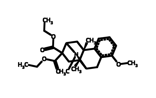 CCOC(=O)C1(C(=O)OCC)C[C@@]2(C)C3Cc4c(OC)cccc4[C@@]2(C)CC1N3C